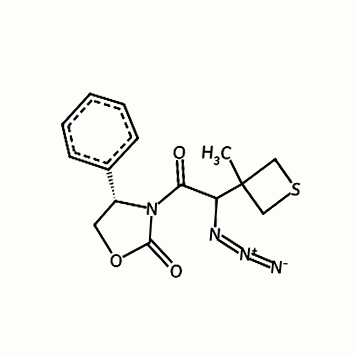 CC1(C(N=[N+]=[N-])C(=O)N2C(=O)OC[C@@H]2c2ccccc2)CSC1